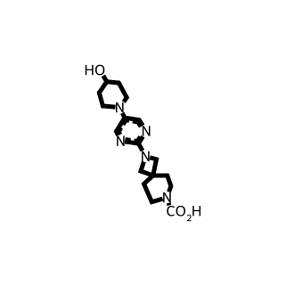 O=C(O)N1CCC2(CC1)CN(c1ncc(N3CCC(O)CC3)cn1)C2